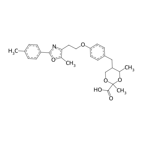 Cc1ccc(-c2nc(CCOc3ccc(CC4COC(C)(C(=O)O)OC4C)cc3)c(C)o2)cc1